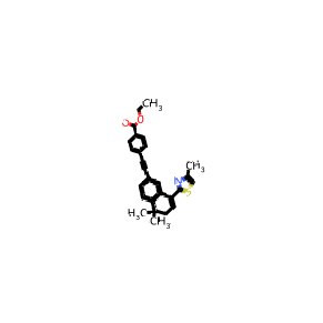 CCOC(=O)c1ccc(C#Cc2ccc3c(c2)C(c2nc(C)cs2)=CCC3(C)C)cc1